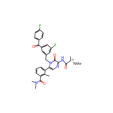 CN[C@@H](C)C(=O)Nc1ncc(-c2cccc(C(=O)N(C)C)c2C)n(Cc2cc(F)cc(C(=O)c3ccc(F)cc3)c2)c1=O